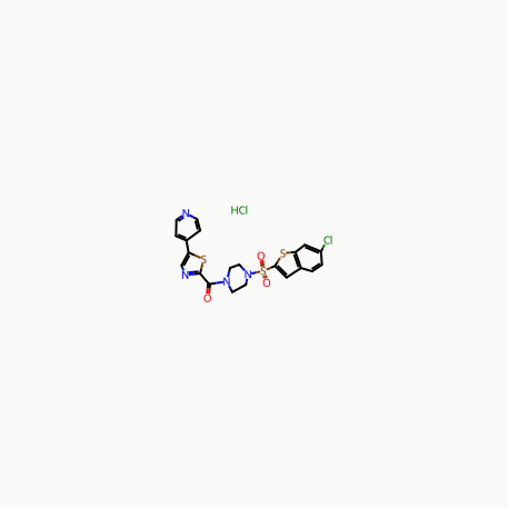 Cl.O=C(c1ncc(-c2ccncc2)s1)N1CCN(S(=O)(=O)c2cc3ccc(Cl)cc3s2)CC1